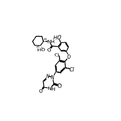 O=C(N[C@@H]1CCCC[C@H]1O)c1cc(Oc2c(Cl)cc(-n3ncc(=O)[nH]c3=O)cc2Cl)ccc1O